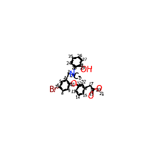 CCN(Cc1cc(Br)ccc1Oc1cccc(CC(=O)OC)c1)c1ccccc1O